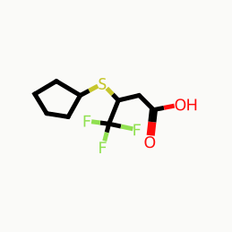 O=C(O)CC(SC1CCCC1)C(F)(F)F